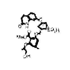 COC(=O)c1c(OC[C@H]2C[C@H](Oc3ccc4c(c3)NC(=O)CC4)CN2C(=O)O)cc(C)cc1OC(C)CO